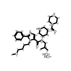 COCCCCn1c(C(=O)N(CC(C)C)[C@@H]2CNC[C@H](C(=O)N3CCOCC3)C2)cnc1-c1ccccc1.Cl.Cl